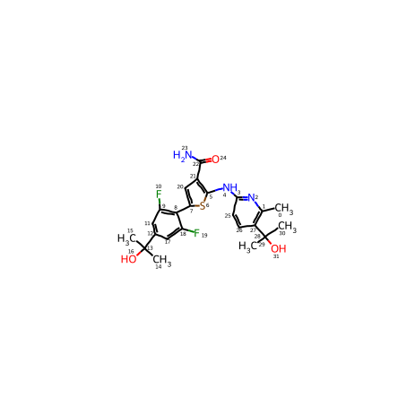 Cc1nc(Nc2sc(-c3c(F)cc(C(C)(C)O)cc3F)cc2C(N)=O)ccc1C(C)(C)O